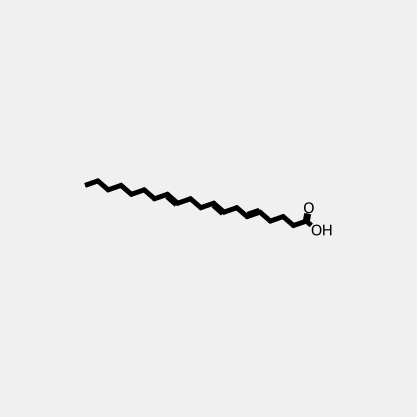 CCCCCCCC=CCCC=CCC=CCCCC(=O)O